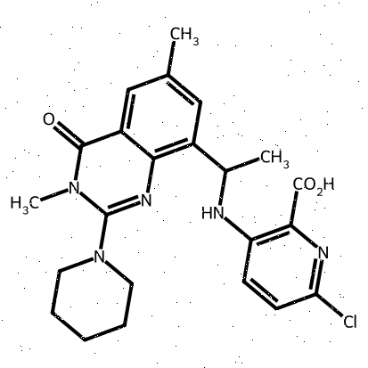 Cc1cc(C(C)Nc2ccc(Cl)nc2C(=O)O)c2nc(N3CCCCC3)n(C)c(=O)c2c1